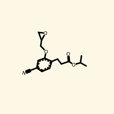 CC(C)OC(=O)CCc1ccc(C#N)cc1OCC1CO1